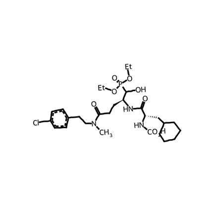 CCOP(=O)(OCC)C(O)[C@H](CCC(=O)N(C)CCc1ccc(Cl)cc1)NC(=O)[C@H](CC1CCCCC1)NC(=O)O